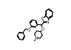 CN1CCC(OC(c2cccc(OCc3ccccc3)c2)c2nc3ccccc3s2)CC1